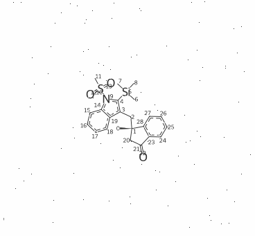 C[C@]1(Cc2c([Si](C)(C)C)n(S(C)(=O)=O)c3ccccc23)CC(=O)c2ccccc21